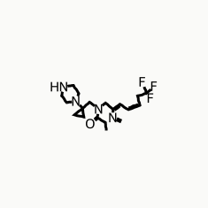 C=N/C(=C\C=C/CC(F)(F)F)CN(CC1(N2CCNCC2)CC1)C(=O)CC